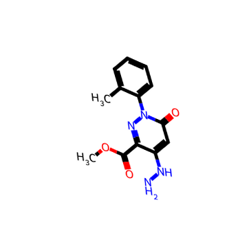 COC(=O)c1nn(-c2ccccc2C)c(=O)cc1NN